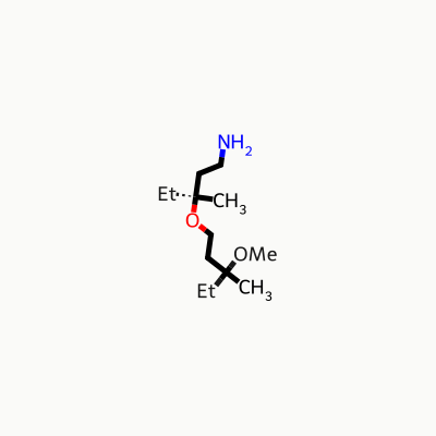 CCC(C)(CCO[C@@](C)(CC)CCN)OC